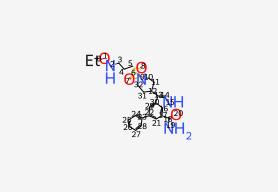 CCONCCCS(=O)(=O)N1CCC(c2c[nH]c3c(C(N)=O)cc(-c4ccccc4)cc23)CC1